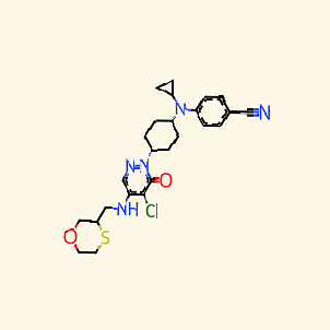 N#Cc1ccc(N(C2CC2)[C@H]2CC[C@@H](n3ncc(NCC4COCCS4)c(Cl)c3=O)CC2)cc1